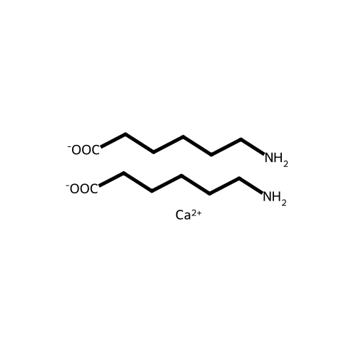 NCCCCCC(=O)[O-].NCCCCCC(=O)[O-].[Ca+2]